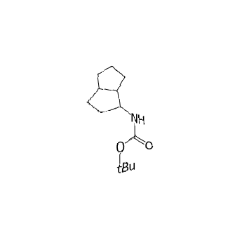 CC(C)(C)OC(=O)NC1CCC2CCCC21